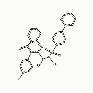 CC(c1nc2ccccc2c(=O)n1-c1ccc(Br)cc1)N(C)S(=O)(=O)c1ccc(-c2ccccc2)cc1